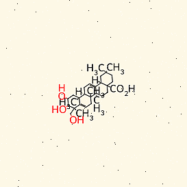 CC1(C)CC[C@]2(C(=O)O)CC[C@]3(C)C(=CC[C@@H]4[C@@]5(C)C[C@H](O)[C@H](O)[C@@](C)(CO)C5=CC[C@]43C)[C@@H]2C1